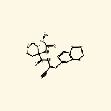 C#CC(Cc1ccc2c(c1)CCCC2)NC(=O)C1(NC(=O)OC(C)(C)C)CCOCC1